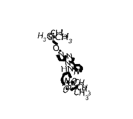 CC(C)(C)CS(=O)(=O)N1CCCC(Nc2ncccc2-c2cnc3c(ccn3COCC[Si](C)(C)C)n2)C1